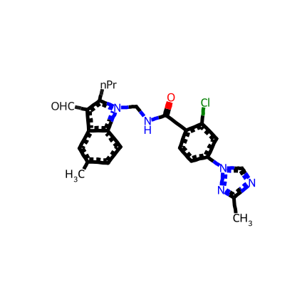 CCCc1c(C=O)c2cc(C)ccc2n1CNC(=O)c1ccc(-n2cnc(C)n2)cc1Cl